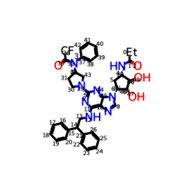 CCC(=O)N[C@H]1C[C@@H](n2cnc3c(NCC(c4ccccc4)c4ccccc4)nc(N4CC[C@@H](N(C(=O)C(F)(F)F)c5ccccc5)C4)nc32)[C@H](O)[C@@H]1O